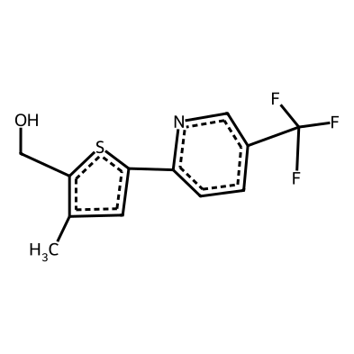 Cc1cc(-c2ccc(C(F)(F)F)cn2)sc1CO